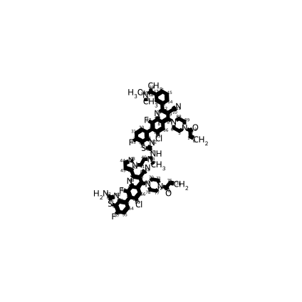 C=CC(=O)N1CCN(c2c(C#N)c(-c3cccc(C(C)N(C)C)c3)nc3c(F)c(-c4ccc(F)c5sc(NN(C)CCn6nccc6-c6nc7c(F)c(-c8ccc(F)c9sc(N)nc89)c(Cl)cc7c(N7CCN(C(=O)C=C)CC7)c6C#N)nc45)c(Cl)cc23)CC1